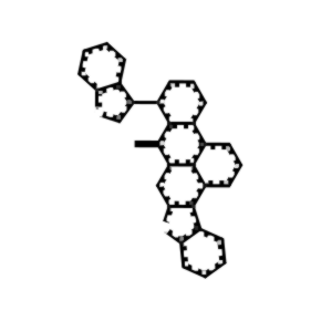 C=c1c2cc3sc4ccccc4c3c3cccc(c4cccc(-c5csc6ccccc56)c14)c23